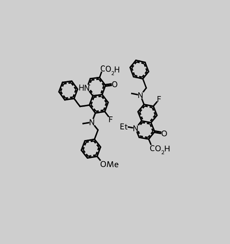 CCn1cc(C(=O)O)c(=O)c2cc(F)c(N(C)Cc3ccccc3)cc21.COc1cccc(CN(C)c2c(F)cc3c(=O)c(C(=O)O)c[nH]c3c2Cc2ccccc2)c1